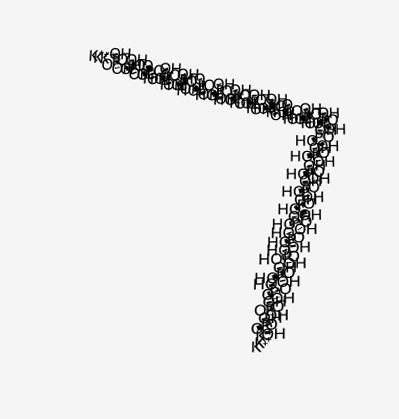 O=P(O)(O)O.O=P(O)(O)O.O=P(O)(O)O.O=P(O)(O)O.O=P(O)(O)O.O=P(O)(O)O.O=P(O)(O)O.O=P(O)(O)O.O=P(O)(O)O.O=P(O)(O)O.O=P(O)(O)O.O=P(O)(O)O.O=P(O)(O)O.O=P(O)(O)O.O=P(O)(O)O.O=P(O)(O)O.O=P(O)(O)O.O=P(O)(O)O.O=P(O)(O)O.O=P([O-])(O)O.O=P([O-])(O)O.O=P([O-])(O)O.O=P([O-])(O)O.O=P([O-])(O)O.O=P([O-])(O)O.[K+].[K+].[K+].[K+].[K+].[K+]